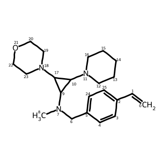 C=Cc1ccc(CN(C)C2C(N3CCCCC3)C2N2CCOCC2)cc1